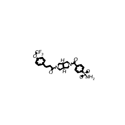 NS(=O)(=O)c1ccc(C(=O)N2C[C@@H]3CN(C(=O)/C=C/c4ccc(OC(F)(F)F)cc4)C[C@H]3C2)cc1